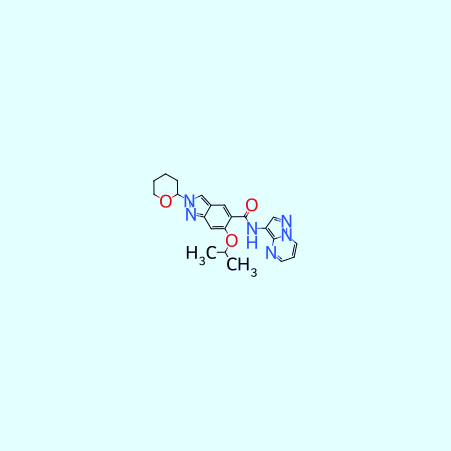 CC(C)Oc1cc2nn(C3CCCCO3)cc2cc1C(=O)Nc1cnn2cccnc12